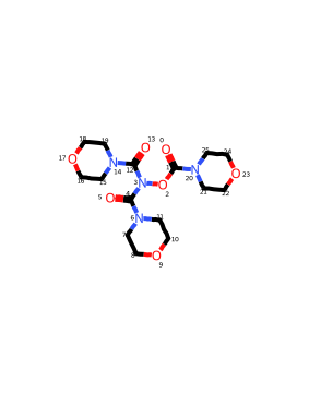 O=C(ON(C(=O)N1CCOCC1)C(=O)N1CCOCC1)N1CCOCC1